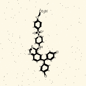 CCOC(=O)COc1ccc(S(=O)(=O)N2CCC(Nc3ncnc4ccc(C(c5ccc(Cl)cc5)c5ccc(Cl)cc5)cc34)CC2)cc1